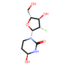 O=C1N[C@@H](O)CCN1[C@@H]1O[C@H](CO)[C@@H](O)[C@@H]1F